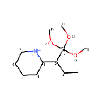 CCC(C1CCCCN1)[Si](OC)(OC)OC